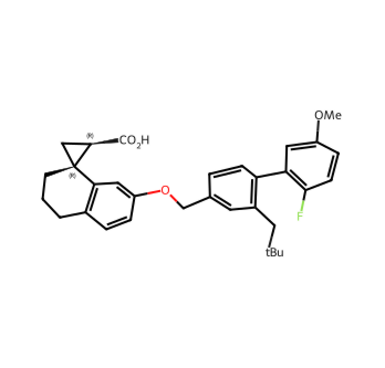 COc1ccc(F)c(-c2ccc(COc3ccc4c(c3)[C@]3(CCC4)C[C@H]3C(=O)O)cc2CC(C)(C)C)c1